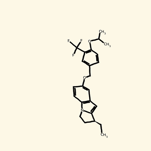 CC[C@H]1CCn2c1cc1cc(OCc3ccc(OC(C)C)c(C(F)(F)F)c3)ccc12